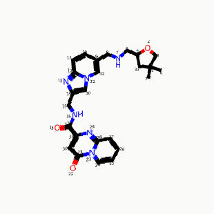 CC1(C)COC(CNCc2ccc3nc(CNC(=O)c4cc(=O)n5ccccc5n4)cn3c2)C1